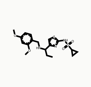 CCC(NCc1ccc(OC)cc1OC)c1csc(NS(=O)(=O)C2CC2)n1